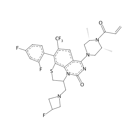 C=CC(=O)N1[C@H](C)CN(c2nc(=O)n3c4c(c(-c5ccc(F)cc5F)c(C(F)(F)F)cc24)SCC3CN2CC(F)C2)C[C@@H]1C